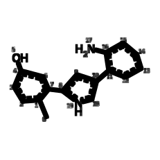 Cc1ccc(O)cc1-c1cc(-c2ccccc2N)c[nH]1